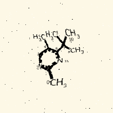 Cc1ncc(C)c(C(C)(C)C)n1